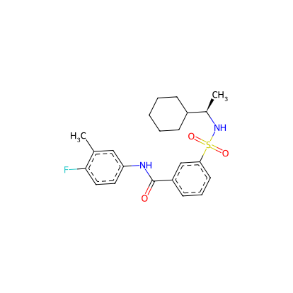 Cc1cc(NC(=O)c2cccc(S(=O)(=O)N[C@H](C)C3CCCCC3)c2)ccc1F